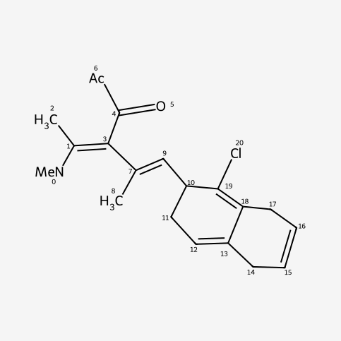 CN/C(C)=C(C(=O)C(C)=O)\C(C)=C\C1CC=C2CC=CCC2=C1Cl